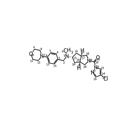 CN(Cc1ccc(N2CCOCC2)cc1)[C@@H]1C[C@@H]2CN(C(=O)n3cc(Cl)cn3)C[C@@H]2C1